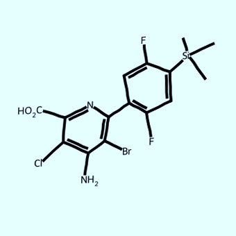 C[Si](C)(C)c1cc(F)c(-c2nc(C(=O)O)c(Cl)c(N)c2Br)cc1F